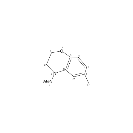 CNN1CCOc2ccc(C)cc21